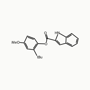 COc1ccc(OC(=O)c2cc3ccccc3[nH]2)c(C(C)(C)C)c1